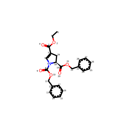 CCOC(=O)C1=CN(C(=O)OCc2ccccc2)[C@H](C(=O)OCc2ccccc2)C1